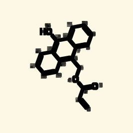 C=CC(=O)OCc1c2ccccc2c(O)c2ccccc12